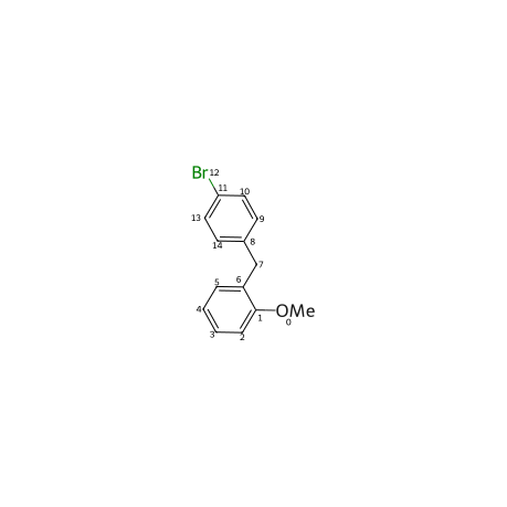 COc1ccccc1Cc1ccc(Br)cc1